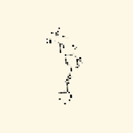 CC(C)(C)C(=O)N1CCc2ncc(C#Cc3ccccc3)cc2C1